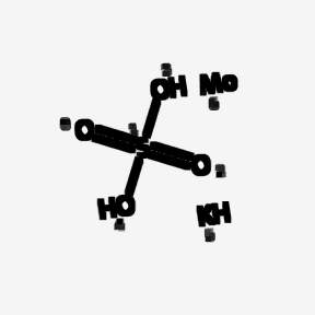 O=S(=O)(O)O.[KH].[Mo]